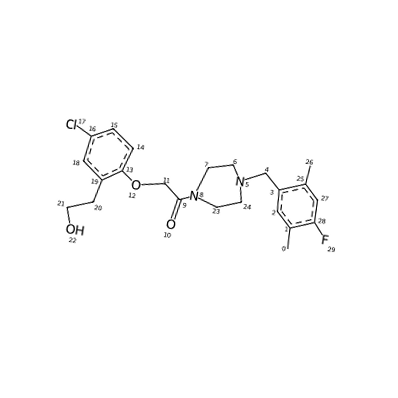 Cc1cc(CN2CCN(C(=O)COc3ccc(Cl)cc3CCO)CC2)c(C)cc1F